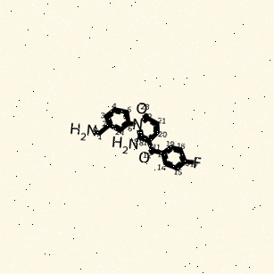 NCc1cccc(-n2c(N)c(C(=O)c3ccc(F)cc3)ccc2=O)c1